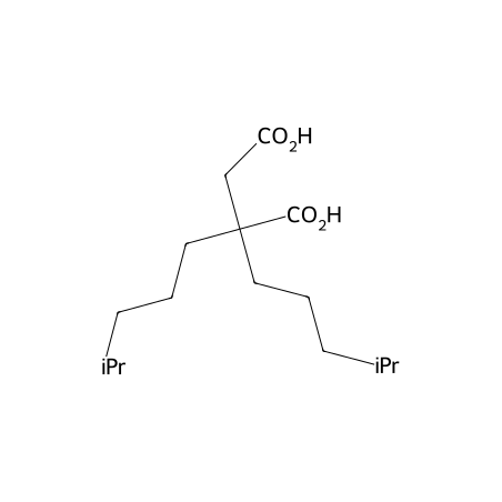 CC(C)CCCC(CCCC(C)C)(CC(=O)O)C(=O)O